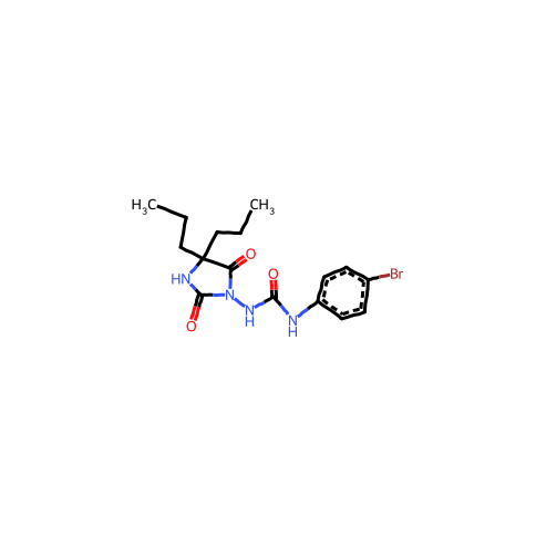 CCCC1(CCC)NC(=O)N(NC(=O)Nc2ccc(Br)cc2)C1=O